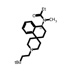 CCC(=O)N(C)[C@H]1CCC2(CCN(CCC(C)(C)C)CC2)c2ccccc21